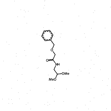 COC(CNC(=O)COCc1ccccc1)OC